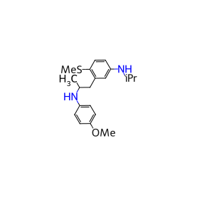 COc1ccc(NC(C)Cc2cc(NC(C)C)ccc2SC)cc1